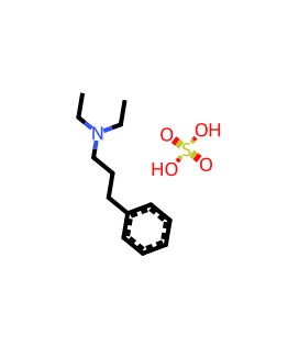 CCN(CC)CCCc1ccccc1.O=S(=O)(O)O